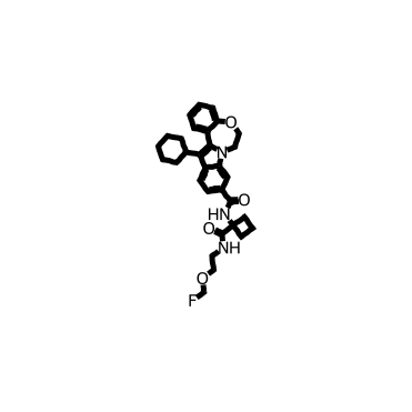 O=C(NC1(C(=O)NCCOCF)CCC1)c1ccc2c(C3CCCCC3)c3n(c2c1)CCOc1ccccc1-3